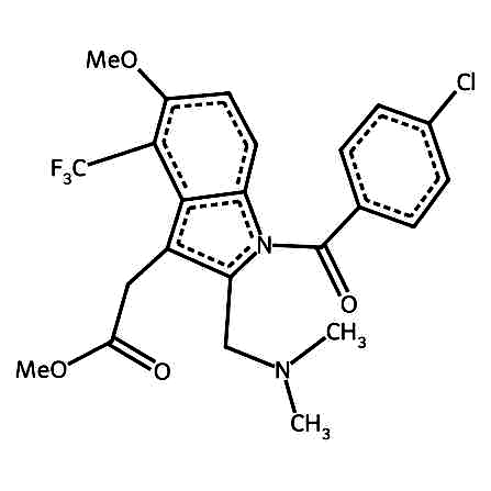 COC(=O)Cc1c(CN(C)C)n(C(=O)c2ccc(Cl)cc2)c2ccc(OC)c(C(F)(F)F)c12